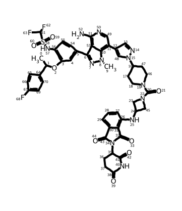 CC(Oc1cc(-c2nn(C)c3c(-c4cnn(C5CCN(C(=O)N6CC(Nc7cccc8c7C(=O)N(C7CCC(=O)NC7=O)C8=O)C6)CC5)c4)cnc(N)c23)ccc1NS(=O)(=O)C(F)F)c1ccc(F)cc1